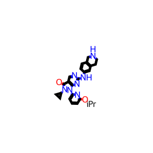 CC(C)Oc1cccc(-n2c3nc(Nc4ccc5c(c4)CCNC5)ncc3c(=O)n2C2CC2)n1